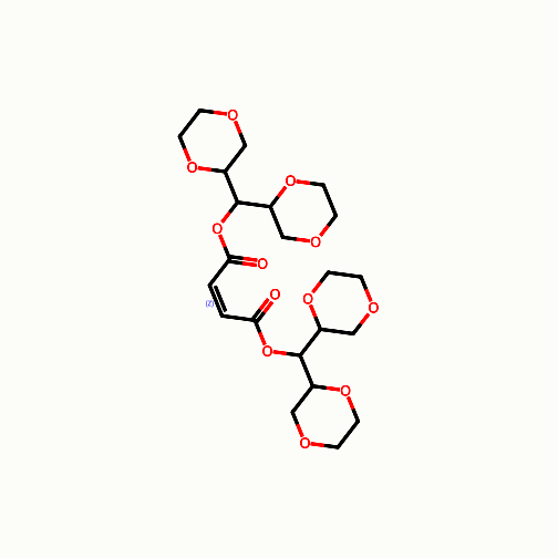 O=C(/C=C\C(=O)OC(C1COCCO1)C1COCCO1)OC(C1COCCO1)C1COCCO1